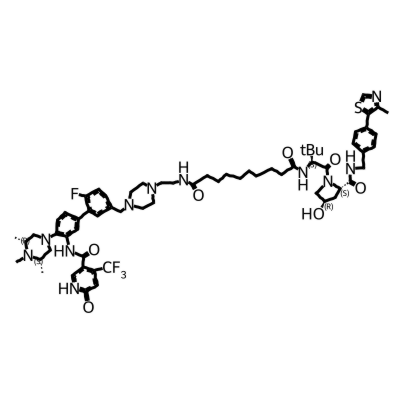 Cc1ncsc1-c1ccc(CNC(=O)[C@@H]2C[C@@H](O)CN2C(=O)[C@@H](NC(=O)CCCCCCCCC(=O)NCCN2CCN(Cc3ccc(F)c(-c4ccc(N5C[C@@H](C)N(C)[C@@H](C)C5)c(NC(=O)c5c[nH]c(=O)cc5C(F)(F)F)c4)c3)CC2)C(C)(C)C)cc1